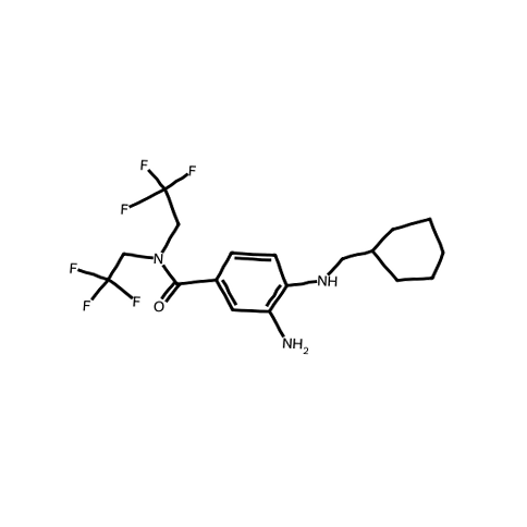 Nc1cc(C(=O)N(CC(F)(F)F)CC(F)(F)F)ccc1NCC1CCCCC1